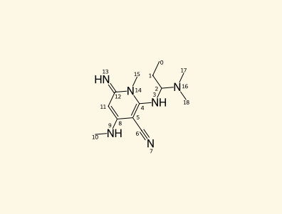 CCC(Nc1c(C#N)c(NC)cc(=N)n1C)N(C)C